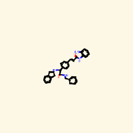 Nc1ccccc1NC(=O)C=Cc1ccc(C(NC2Cc3ccccc3C2)C(=O)NCc2ccccc2)cc1